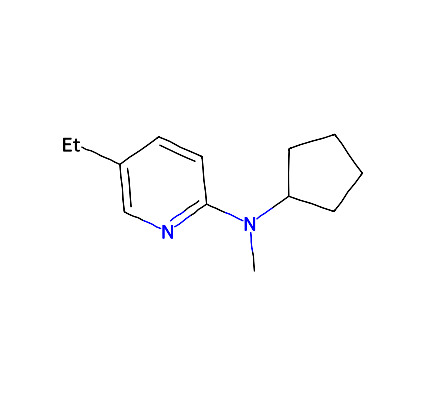 CCc1ccc(N(C)C2CCCC2)nc1